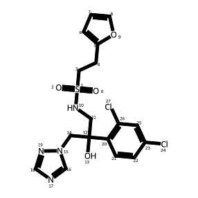 O=S(=O)(CCc1ccco1)NCC(O)(Cn1cncn1)c1ccc(Cl)cc1Cl